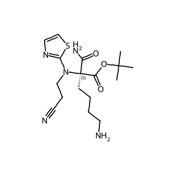 CC(C)(C)OC(=O)[C@](CCCCN)(C(N)=O)N(CCC#N)c1nccs1